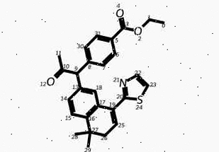 CCOC(=O)c1ccc(C(C(C)=O)c2ccc3c(c2)C(c2nccs2)=CCC3(C)C)cc1